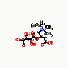 C[N+](C)(C)C[C@@H](CC(=O)O)OC(=O)C(O)C(O)C(=O)O.[Ca+2]